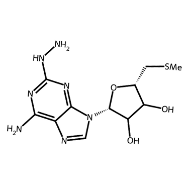 CSC[C@H]1O[C@@H](n2cnc3c(N)nc(NN)nc32)C(O)C1O